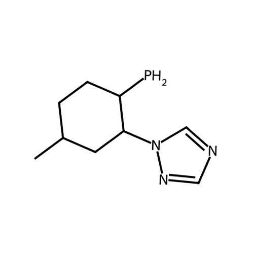 CC1CCC(P)C(n2cncn2)C1